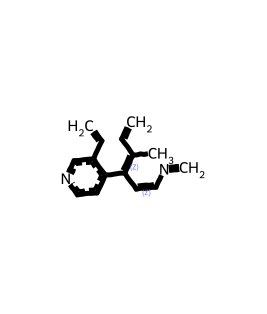 C=C/C(C)=C(/C=C\N=C)c1ccncc1C=C